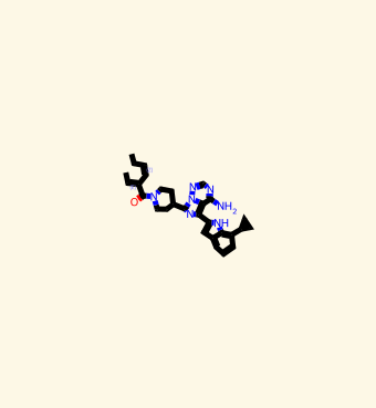 C/C=C(\C=C/CC)C(=O)N1CCC(c2nc(-c3cc4cccc(C5CC5)c4[nH]3)c3c(N)ncnn23)CC1